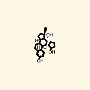 C#C[C@]1(O)CC[C@H]2[C@@H]3CCc4cc(O)ccc4[C@H]3CC[C@@]21C.OC1CCCC1